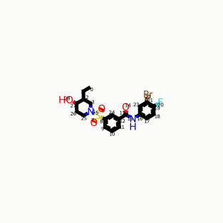 CCC1CN(S(=O)(=O)c2cccc(C(=O)Nc3ccc(F)c(Br)c3)c2)CCC1O